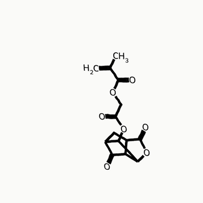 C=C(C)C(=O)OCC(=O)OC1C2CC3C(=O)OC1C3C2=O